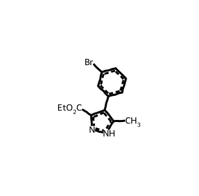 CCOC(=O)c1n[nH]c(C)c1-c1cccc(Br)c1